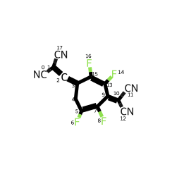 N#CC(=C=C1CC(F)=C(F)C(=C(C#N)C#N)C(F)=C1F)C#N